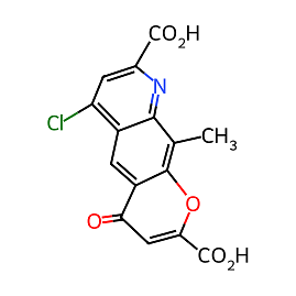 Cc1c2nc(C(=O)O)cc(Cl)c2cc2c(=O)cc(C(=O)O)oc12